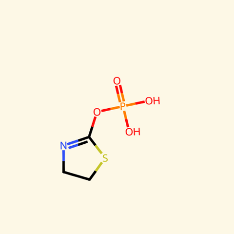 O=P(O)(O)OC1=NCCS1